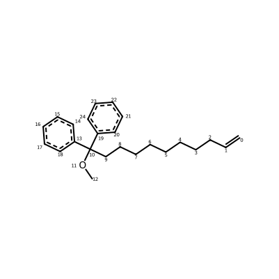 C=CCCCCCCCCC(OC)(c1ccccc1)c1ccccc1